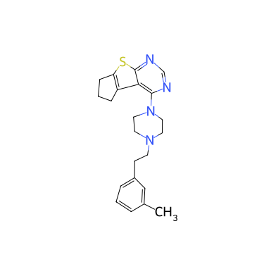 Cc1cccc(CCN2CCN(c3ncnc4sc5c(c34)CCC5)CC2)c1